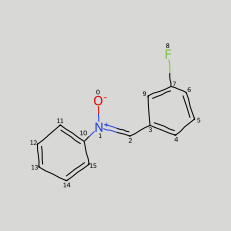 [O-][N+](=Cc1cccc(F)c1)c1ccccc1